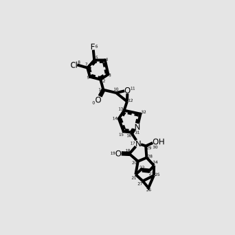 O=C(c1ccc(F)c(Cl)c1)C1OC1c1ccc(N2C(=O)C3C4C=CC(C5CC45)C3C2O)nc1